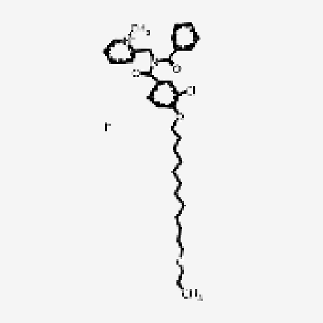 CCCCCCCCCCCCCCCCOc1ccc(C(=O)N(Cc2cccc[n+]2C)C(=O)c2ccccc2)cc1Cl.[I-]